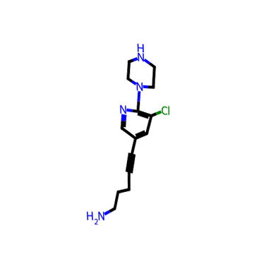 NCCCC#Cc1cnc(N2CCNCC2)c(Cl)c1